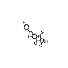 O=c1[nH]sc2c1c(=O)c1cc(F)c(/C=C/c3ccc(F)cc3)cc1n2C1CC1